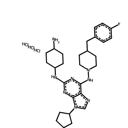 Cl.Cl.Cl.NC1CCC(Nc2nc(NN3CCC(Cc4ccc(F)cc4)CC3)c3ncn(C4CCCC4)c3n2)CC1